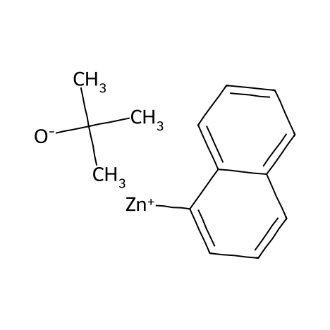 CC(C)(C)[O-].[Zn+][c]1cccc2ccccc12